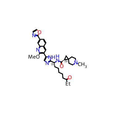 CCC(=O)CCCCC[C@H](NC(=O)[C@H]1CC12CCN(C)CC2)c1ncc(-c2cc3ccc(-c4ncco4)cc3nc2OC)[nH]1